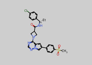 CC[C@H](NC(=O)C1CN(c2ncnn3cc(-c4ccc(S(C)(=O)=O)cc4)cc23)C1)c1ccc(Cl)cc1